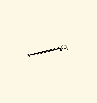 C=C(CCCCCCCCCCCCCCCC(C)C)C(=O)O